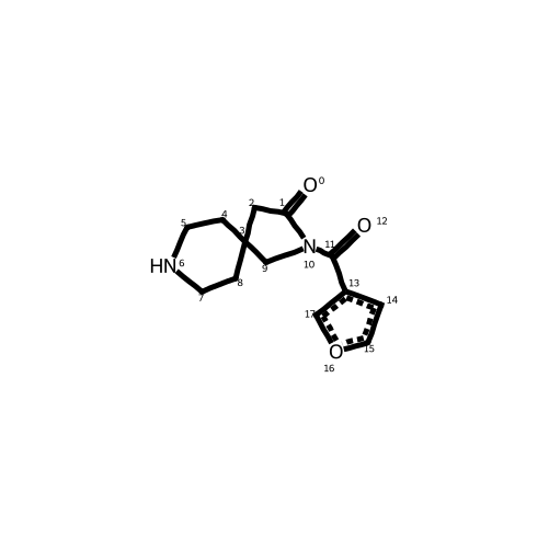 O=C1CC2(CCNCC2)CN1C(=O)c1ccoc1